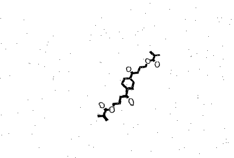 C=C(C)C(=O)OCCCC(=O)C1CCC(C(=O)CCCOC(=O)C(=C)C)CC1